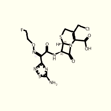 Nc1nc(/C(=N/OCCF)C(=O)N[C@@H]2C(=O)N3C(C(=O)O)=C(CCl)CS[C@H]23)ns1